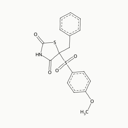 COc1ccc(S(=O)(=O)C2(Cc3ccccc3)SC(=O)NC2=O)cc1